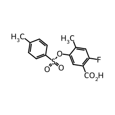 Cc1ccc(S(=O)(=O)Oc2cc(C(=O)O)c(F)cc2C)cc1